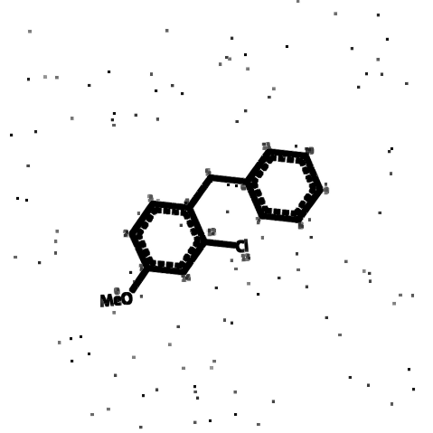 COc1ccc([CH]c2ccccc2)c(Cl)c1